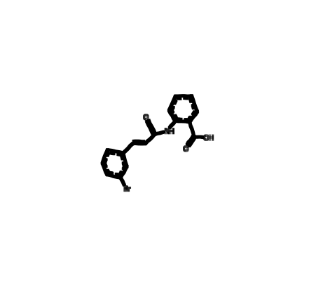 O=C(C=Cc1cccc(Br)c1)Nc1ccccc1C(=O)O